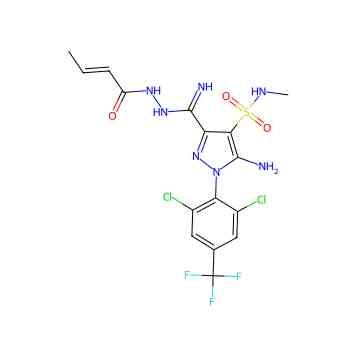 CC=CC(=O)NNC(=N)c1nn(-c2c(Cl)cc(C(F)(F)F)cc2Cl)c(N)c1S(=O)(=O)NC